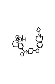 O=C(c1ccc2c(c1)CCCS2(O)O)N1CCC(Oc2ccc3c(c2)CCN(C2CCC2)CC3)CC1